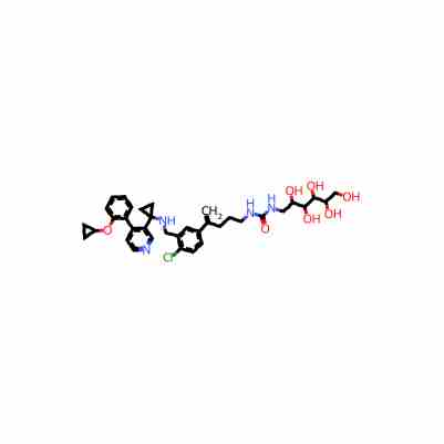 C=C(CCCNC(=O)NCC(O)C(O)C(O)C(O)CO)c1ccc(Cl)c(CNC2(c3cnccc3-c3ccccc3OC3CC3)CC2)c1